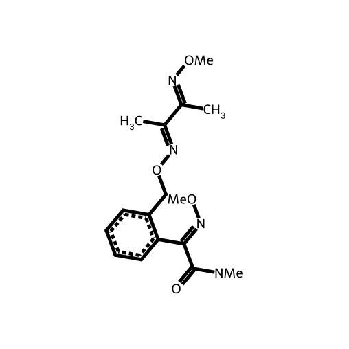 CNC(=O)/C(=N/OC)c1ccccc1CO/N=C(C)/C(C)=N/OC